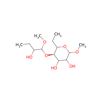 CCC(O)C(OC)O[C@H]1C(CC)OC(OC)C(O)C1O